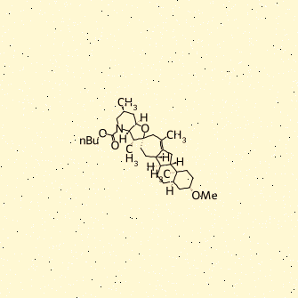 CCCCOC(=O)N1C[C@@H](C)C[C@H]2O[C@]3(CC[C@@H]4C(=C(C)C3)C[C@H]3[C@H]4CC[C@@H]4C[C@@H](OC)CC[C@@]43C)[C@H](C)[C@@H]21